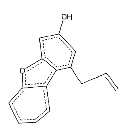 C=CCc1cc(O)cc2oc3ccccc3c12